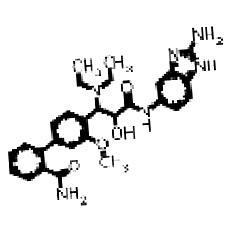 CCN(CC)C(c1ccc(-c2ccccc2C(N)=O)cc1OC)C(O)C(=O)Nc1ccc2[nH]c(N)nc2c1